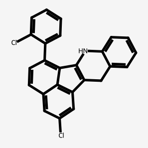 Clc1cc2c3c(c(-c4ccccc4Cl)ccc3c1)C1=C2Cc2ccccc2N1